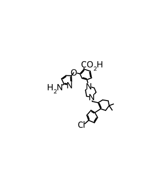 CC1(C)CCC(CN2CCN(c3ccc(C(=O)O)c(Oc4ccc(N)nc4)c3)CC2)=C(c2ccc(Cl)cc2)C1